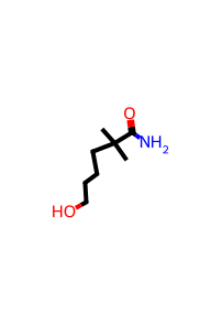 CC(C)(CCCCO)C(N)=O